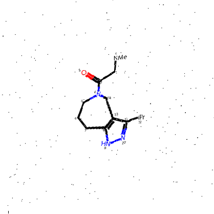 CNCC(=O)N1CCCc2[nH]nc(C(C)C)c2C1